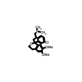 COc1cc2c(cc1OC)C(CCCN(C)C)(c1ccccc1)OCC2.Cl